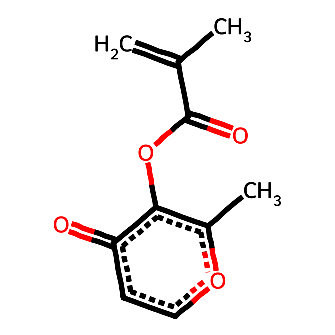 C=C(C)C(=O)Oc1c(C)occc1=O